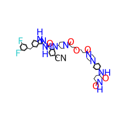 N#Cc1ccc(C(=O)Nc2n[nH]c3ccc(Cc4cc(F)cc(F)c4)cc23)c(NC2CCN(C(=O)CCOCCC(=O)N3CCN(c4ccc(NC5CCC(=O)NC5=O)cc4)CC3)CC2)c1